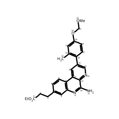 CCOC(=O)CCc1ccc2c(c1)nc(N)c1ncc(-c3ccc(OCOC)cc3C)cc12